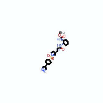 Cn1cc(-c2ccc(S(=O)(=O)n3ccc(/C=C/C(=O)Nc4ccccc4NC(=O)OC(C)(C)C)c3)cc2)cn1